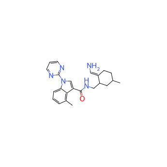 Cc1cccc2c1c(C(=O)NCC1CC(C)CC/C1=C\N)cn2-c1ncccn1